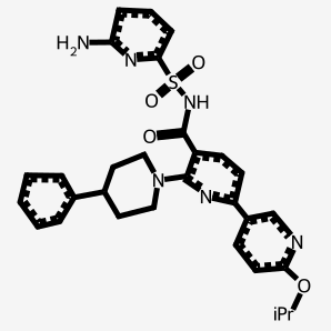 CC(C)Oc1ccc(-c2ccc(C(=O)NS(=O)(=O)c3cccc(N)n3)c(N3CCC(c4ccccc4)CC3)n2)cn1